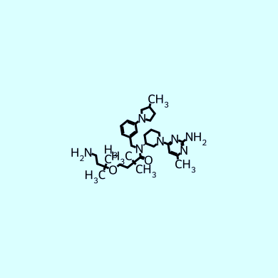 Cc1cc(N2CCC[C@@H](N(Cc3cccc(N4CCC(C)C4)c3)C(=O)C(C)(C)CCOC(C)(C)CCN)C2)nc(N)n1